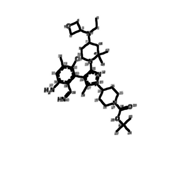 CCN(C1COC1)C1CCN(c2nn(C3CCN(C(=O)OC(C)(C)C)CC3)c(C)c2-c2c(Cl)c(C)cc(N)c2C=N)C(C)(C)C1